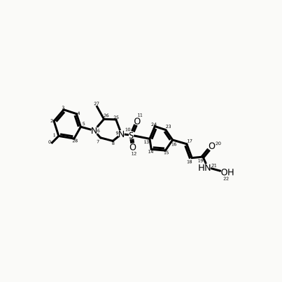 Cc1cccc(N2CCN(S(=O)(=O)c3ccc(/C=C/C(=O)NO)cc3)CC2C)c1